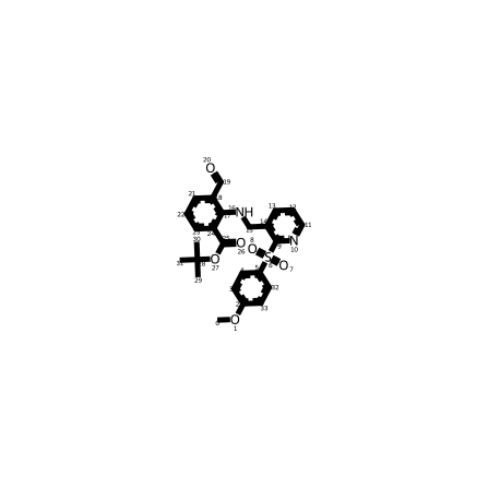 COc1ccc(S(=O)(=O)c2ncccc2CNc2c(C=O)cccc2C(=O)OC(C)(C)C)cc1